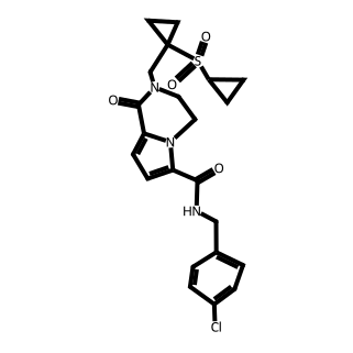 O=C(NCc1ccc(Cl)cc1)c1ccc2n1CCN(CC1(S(=O)(=O)C3CC3)CC1)C2=O